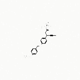 CC#CC(CC(=O)NS(C)(=O)=O)c1ccc(OCc2ccc(OC)cc2)cc1